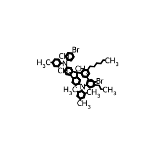 CCCCCCc1cc(CCCCCC)cc(C2(C)c3cc(N(c4ccc(Br)cc4)c4c(C)cc(C)cc4C)ccc3-c3ccc(N(c4ccc(Br)cc4)c4c(C)cc(C)cc4C)cc32)c1